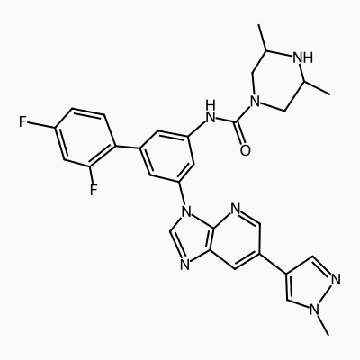 CC1CN(C(=O)Nc2cc(-c3ccc(F)cc3F)cc(-n3cnc4cc(-c5cnn(C)c5)cnc43)c2)CC(C)N1